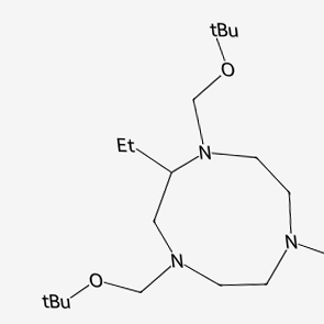 CCC1CN(COC(C)(C)C)CCN(CC)CCN1COC(C)(C)C